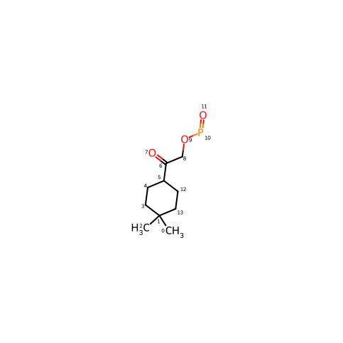 CC1(C)CCC(C(=O)COP=O)CC1